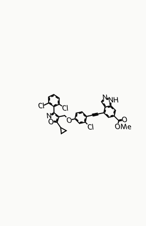 COC(=O)c1cc(C#Cc2ccc(OCc3c(-c4c(Cl)cccc4Cl)noc3C3CC3)cc2Cl)c2cn[nH]c2c1